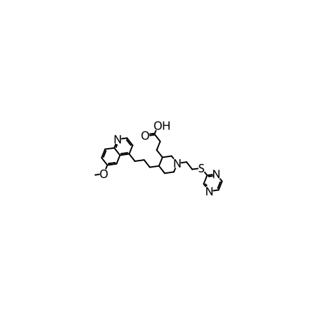 COc1ccc2nccc(CCCC3CCN(CCSc4cnccn4)CC3CCC(=O)O)c2c1